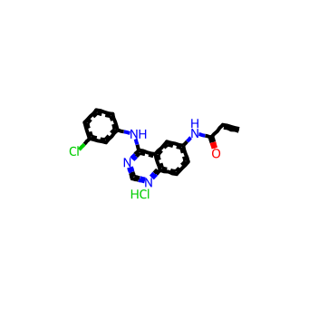 C=CC(=O)Nc1ccc2ncnc(Nc3cccc(Cl)c3)c2c1.Cl